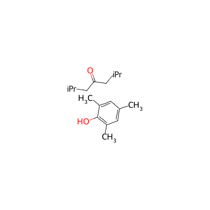 CC(C)CC(=O)CC(C)C.Cc1cc(C)c(O)c(C)c1